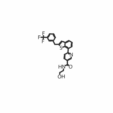 O=C(NCCO)c1ccc(-c2cccc3cc(Cc4cccc(C(F)(F)F)c4)sc23)nc1